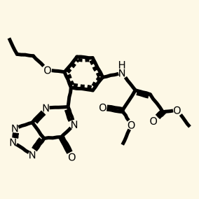 CCCOc1ccc(N/C(=C/C(=O)OC)C(=O)OC)cc1C1=NC(=O)C2=NN=NC2=N1